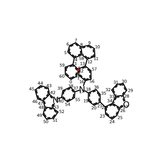 c1ccc(-c2cccc3cccc(-c4ccc(N(c5ccc(-c6cccc7oc8ccccc8c67)cc5)c5ccc(-n6c7ccccc7c7ccccc76)cc5)cc4)c23)cc1